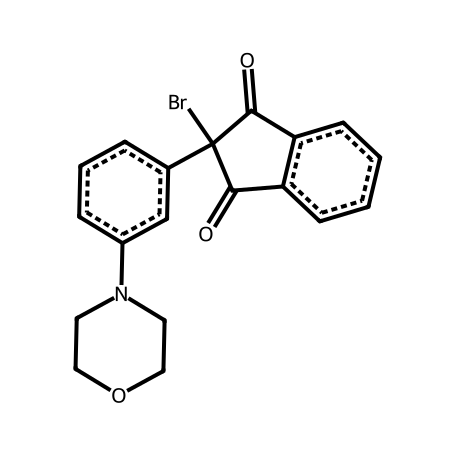 O=C1c2ccccc2C(=O)C1(Br)c1cccc(N2CCOCC2)c1